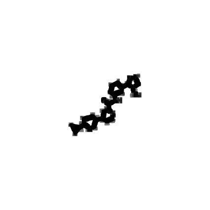 CCC(C)n1cnnc1-c1cccc(NC(=O)c2cc(-c3ccc(C4CC4)nc3)ccn2)c1